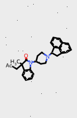 CC(=O)CC1(C)C(=O)N(C2CCN(C3Cc4cccc5cccc3c45)CC2)c2ccccc21